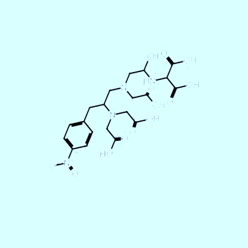 CC(CN(CC(=O)O)CC(Cc1ccc([N+](=O)[O-])cc1)N(CC(=O)O)CC(=O)O)NC(C(=O)O)C(=O)O